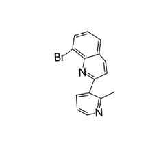 Cc1ncccc1-c1ccc2cccc(Br)c2n1